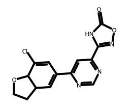 O=c1[nH]c(-c2cc(C3=CC4CCOC4C(Cl)=C3)ncn2)no1